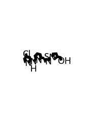 OCC1CCN(c2ncc(-c3cccc(Nc4cc(Cl)ccn4)n3)s2)C1